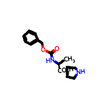 C1CCNC1.C[C@H](NC(=O)OCc1ccccc1)C(=O)O